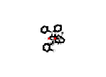 CN(Cc1ccccc1Cl)C(=O)N1[C@H]2CC[C@@H]1[C@@H](C(=O)O)N(C(=O)N(c1ccccc1)c1ccccc1)C2